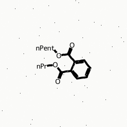 CCCCCOC(=O)c1ccccc1C(=O)OCCC